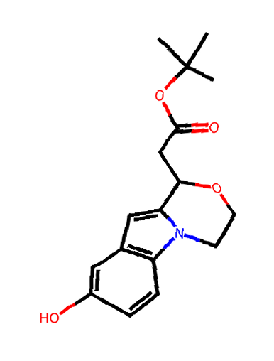 CC(C)(C)OC(=O)CC1OCCn2c1cc1cc(O)ccc12